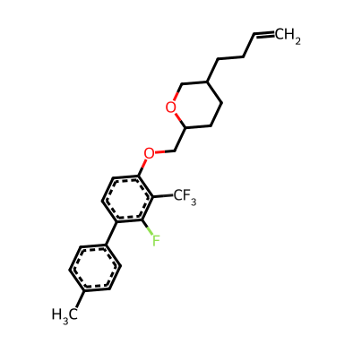 C=CCCC1CCC(COc2ccc(-c3ccc(C)cc3)c(F)c2C(F)(F)F)OC1